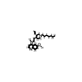 C=C[C@H]1CN(CCCCCCC)CC[C@H]1CCN(C)c1ccnc2ccc(OC)cc12